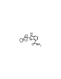 CC1(c2nc3c(C(N)=O)cccc3[nH]2)CCN1C1CCCC1